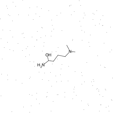 CN(C)CCCC(N)O